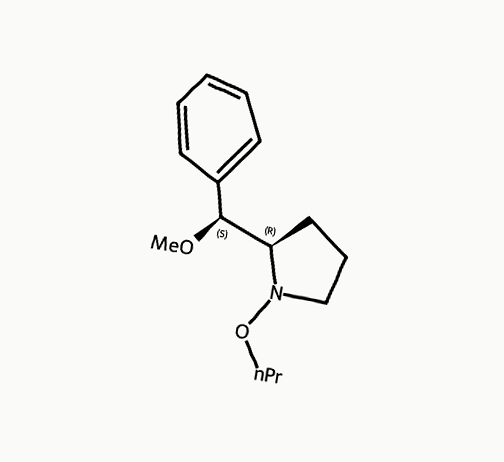 CCCON1CCC[C@@H]1[C@@H](OC)c1ccccc1